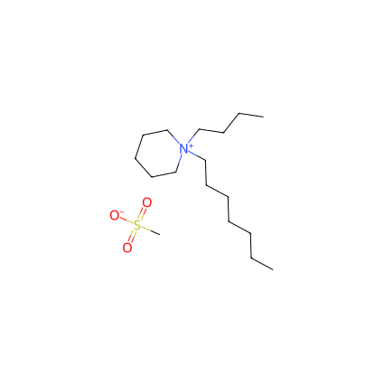 CCCCCCC[N+]1(CCCC)CCCCC1.CS(=O)(=O)[O-]